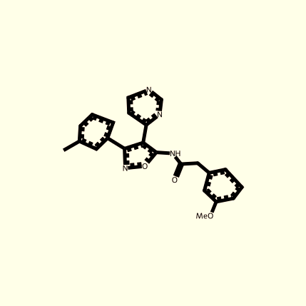 COc1cccc(CC(=O)Nc2onc(-c3cccc(C)c3)c2-c2ccncn2)c1